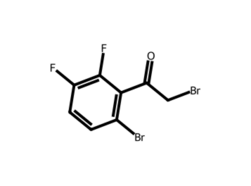 O=C(CBr)c1c(Br)ccc(F)c1F